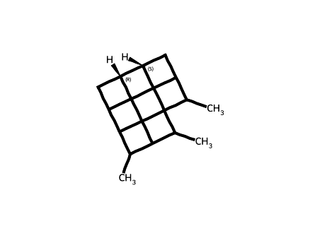 CC1C2C(C)C34C(C)C5C[C@H]6[C@H]7CC8C1C23C87C564